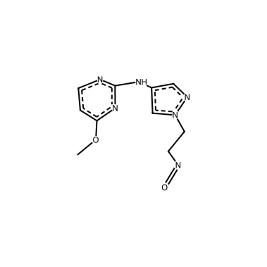 COc1ccnc(Nc2cnn(CCN=O)c2)n1